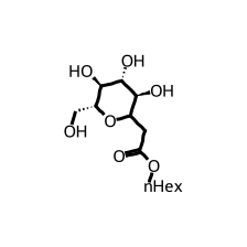 CCCCCCOC(=O)CC1O[C@H](CO)[C@@H](O)[C@H](O)[C@H]1O